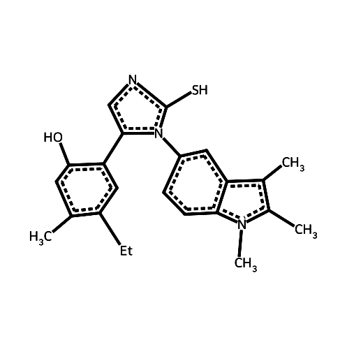 CCc1cc(-c2cnc(S)n2-c2ccc3c(c2)c(C)c(C)n3C)c(O)cc1C